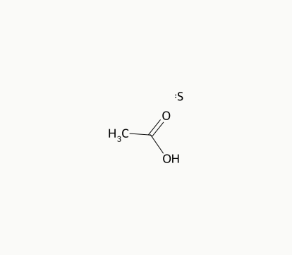 CC(=O)O.[S]